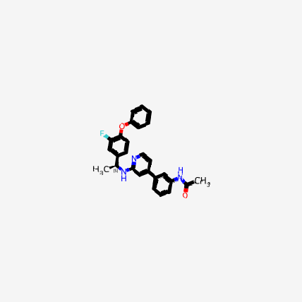 CC(=O)Nc1cccc(-c2ccnc(N[C@@H](C)c3ccc(Oc4ccccc4)c(F)c3)c2)c1